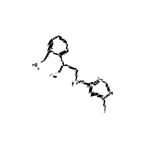 Cc1ccccc1C(O)CNc1cc(I)ncn1